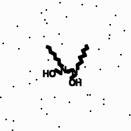 CCCCCCCCN(CCO)CCN(CCO)CCCCCCCC